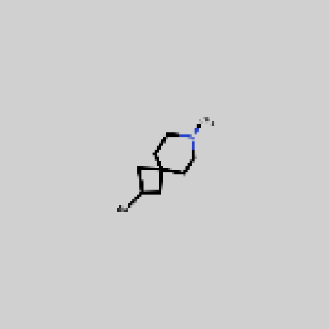 CCCCC1CC2(CCN(C)CC2)C1